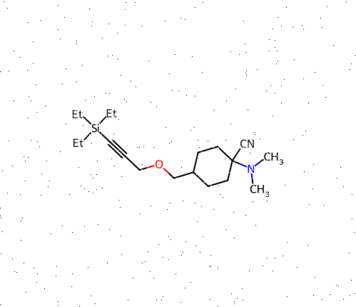 CC[Si](C#CCOCC1CCC(C#N)(N(C)C)CC1)(CC)CC